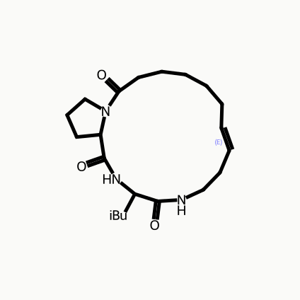 CCC(C)C1NC(=O)C2CCCN2C(=O)CCCCC/C=C/CCNC1=O